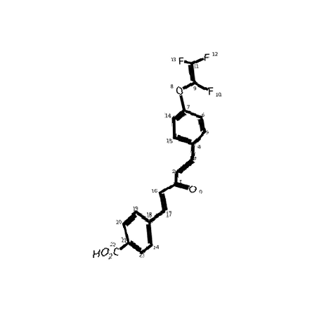 O=C(C=Cc1ccc(OC(F)=C(F)F)cc1)C=Cc1ccc(C(=O)O)cc1